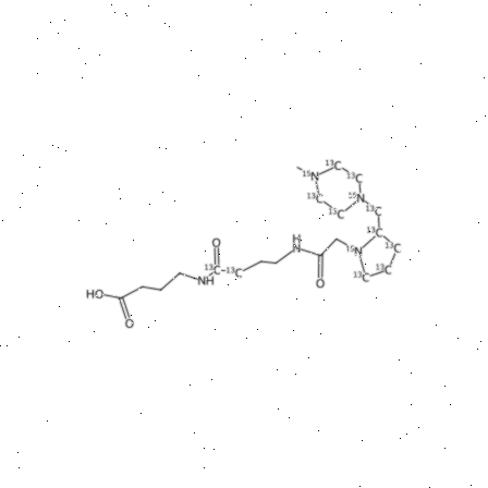 C[15N]1[13CH2][13CH2][15N]([13CH2][13CH]2[13CH2][13CH2][13CH2][15N]2CC(=O)NCC[13CH2][13C](=O)NCCCC(=O)O)[13CH2][13CH2]1